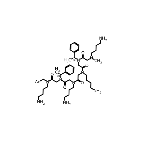 CC(=O)CN(CCCCN)C(=O)CN(C(=O)CN(CCCCN)C(=O)CN(CCCCN)C(=O)CN(C(=O)CN(C)CCCCN)[C@@H](C)c1ccccc1)[C@@H](C)c1ccccc1